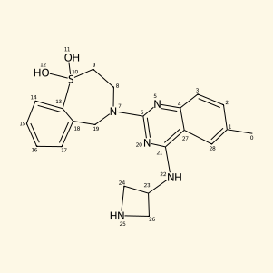 Cc1ccc2nc(N3CCS(O)(O)c4ccccc4C3)nc(NC3CNC3)c2c1